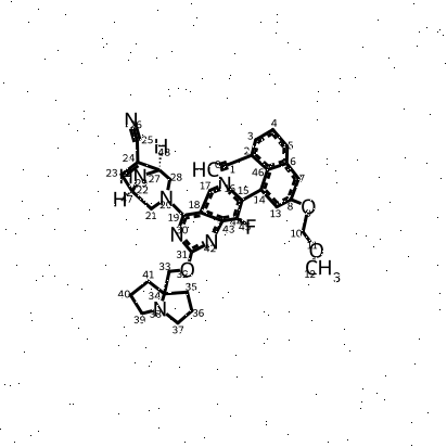 C#Cc1cccc2cc(OCOC)cc(-c3ncc4c(N5C[C@H]6C=C(C#N)[C@@H](C5)N6)nc(OCC56CCCN5CCC6)nc4c3F)c12